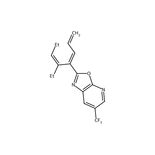 C=C/C=C(\C(=C/CC)CC)c1nc2cc(C(F)(F)F)cnc2o1